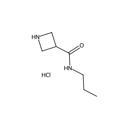 CCCNC(=O)C1CNC1.Cl